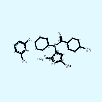 Cc1cccc(O[C@H]2CC[C@H](N(C(=O)C3CCC(C)CC3)c3cc(C(C)(C)C)sc3C(=O)O)CC2)n1